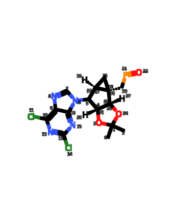 CC1(C)O[C@@H]2C(n3cnc4c(Cl)nc(Cl)nc43)[C@H]3C[C@@]3(CP=O)[C@@H]2O1